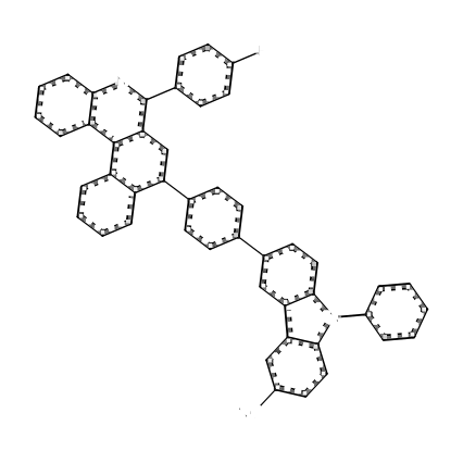 N#Cc1ccc2c(c1)c1cc(-c3ccc(-c4cc5c(-c6ccc(F)cc6)nc6ccccc6c5c5ccccc45)cc3)ccc1n2-c1ccccc1